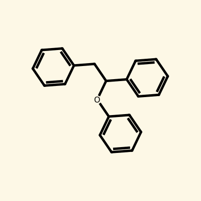 c1ccc(CC(Oc2ccccc2)c2ccccc2)cc1